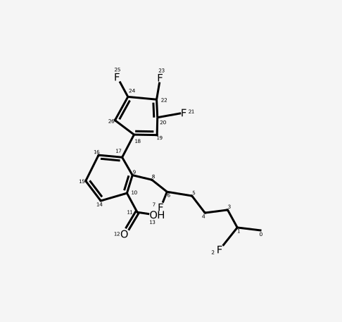 CC(F)CCCC(F)Cc1c(C(=O)O)cccc1-c1cc(F)c(F)c(F)c1